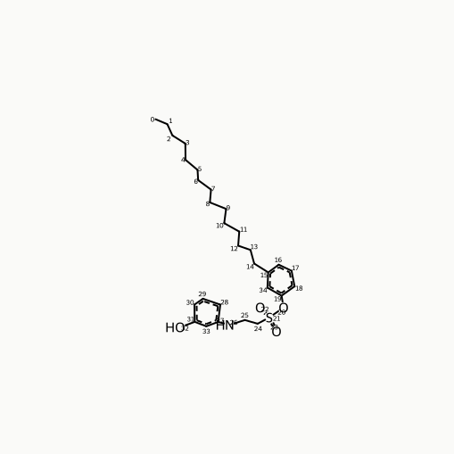 CCCCCCCCCCCCCCCc1cccc(OS(=O)(=O)CCNc2cccc(O)c2)c1